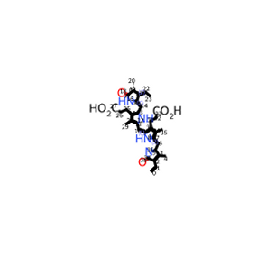 C=CC1=C(C)C(/C=c2\[nH]/c(=C/c3[nH]c(/C=C4\NC(=O)[C@H](C)\C4=C\C)c(CCC(=O)O)c3C)c(CCC(=O)O)c2C)=NC1=O